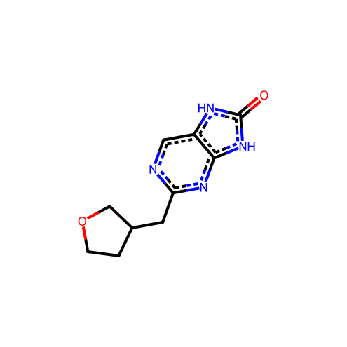 O=c1[nH]c2cnc(CC3CCOC3)nc2[nH]1